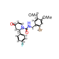 COc1cc(Br)c(CNC(=O)N2C=CC(=O)CC2c2ccc(F)cc2)cc1OC